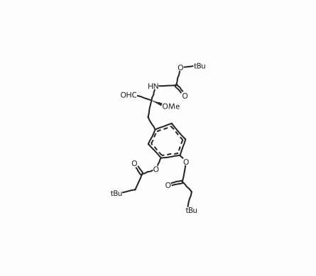 CO[C@](C=O)(Cc1ccc(OC(=O)CC(C)(C)C)c(OC(=O)CC(C)(C)C)c1)NC(=O)OC(C)(C)C